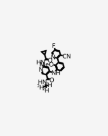 [2H]C([2H])([2H])NC(=O)c1cnc(NC(=O)C2CC2)cc1Nc1cccc(-c2ncc(F)cc2C#N)c1OC